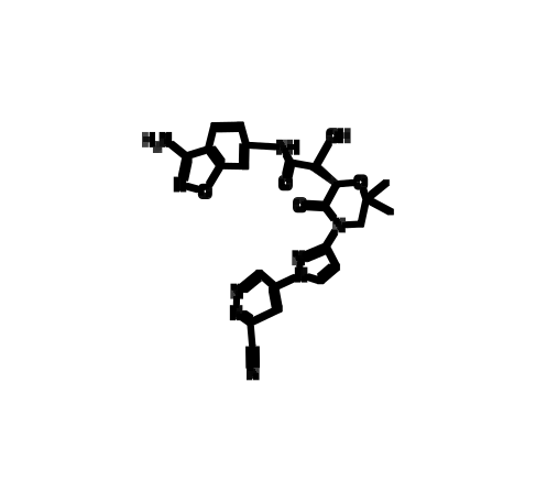 CC1(C)CN(c2ccn(-c3cnnc(C#N)c3)n2)C(=O)[C@@H](C(O)C(=O)Nc2ccc3c(N)noc3c2)O1